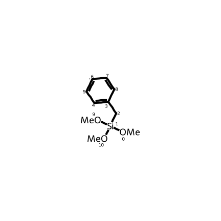 CO[Si](Cc1cc[c]cc1)(OC)OC